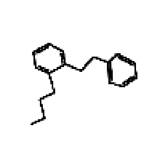 CCCCc1ccccc1CCc1ccccc1